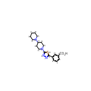 O=C(O)c1cccc(-c2nnc(N3CCC(N4CCCCC4)CC3)s2)c1